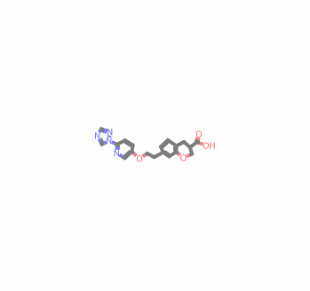 O=C(O)C1COc2cc(CCOc3ccc(-n4cncn4)nc3)ccc2C1